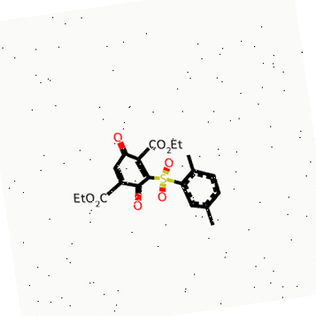 CCOC(=O)C1=CC(=O)C(C(=O)OCC)=C(S(=O)(=O)c2cc(C)ccc2C)C1=O